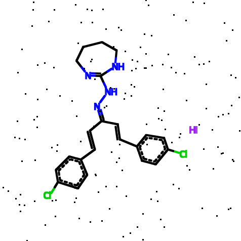 Clc1ccc(C=CC(C=Cc2ccc(Cl)cc2)=NNC2=NCCCCN2)cc1.I